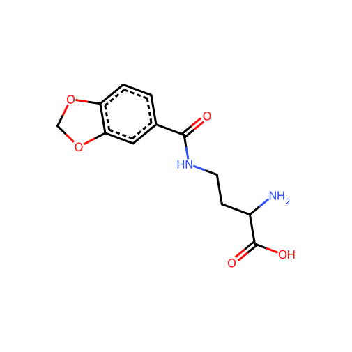 NC(CCNC(=O)c1ccc2c(c1)OCO2)C(=O)O